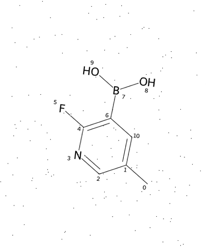 Cc1cnc(F)c(B(O)O)c1